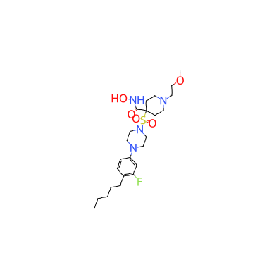 CCCCCc1ccc(N2CCN(S(=O)(=O)C3(C(=O)NO)CCN(CCOC)CC3)CC2)cc1F